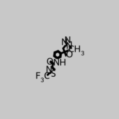 Cn1cnnc1CC1(c2cccc(NC(=O)c3csc(C(F)(F)F)n3)c2)COC1